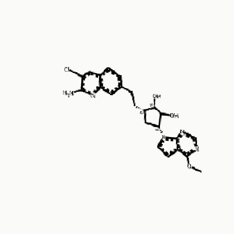 COc1ncnc2c1ccn2[C@@H]1C[C@H](CCc2ccc3cc(Cl)c(N)nc3c2)[C@@H](O)C1O